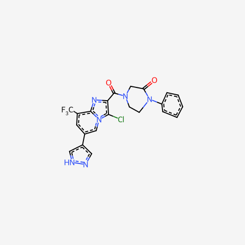 O=C(c1nc2c(C(F)(F)F)cc(-c3cn[nH]c3)cn2c1Cl)N1CCN(c2ccccc2)C(=O)C1